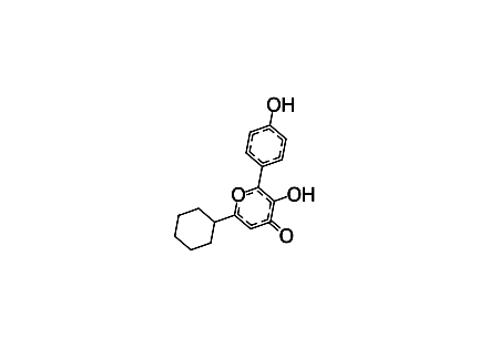 O=c1cc(C2CCCCC2)oc(-c2ccc(O)cc2)c1O